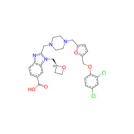 O=C(O)c1ccc2nc(CN3CCN(Cc4ccc(COc5ccc(Cl)cc5Cl)o4)CC3)n(C[C@@H]3CCO3)c2c1